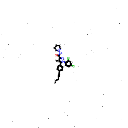 CCCC#Cc1ccc(-c2c(C)c(C(=O)NN3CCCCC3)nn2-c2ccc(Cl)cc2Cl)cc1